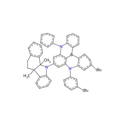 CC(C)(C)c1cccc(N2c3cc(C(C)(C)C)ccc3B3c4ccccc4N(c4ccccc4)c4cc(N5c6ccccc6C6(C)CCc7ccccc7C56C)cc2c43)c1